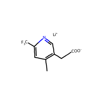 Cc1cc(C(F)(F)F)ncc1CC(=O)[O-].[Li+]